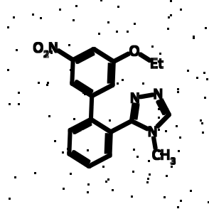 CCOc1cc(-c2ccccc2-c2nncn2C)cc([N+](=O)[O-])c1